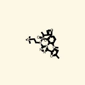 COc1cccc(OC)c1-n1c(-c2ccc(C)o2)nnc1N(CC[Si](C)(C)C)S(=O)(=O)C(C)C1(O)COC1